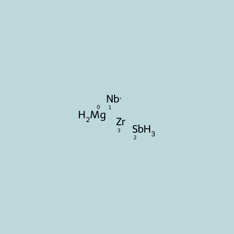 [MgH2].[Nb].[SbH3].[Zr]